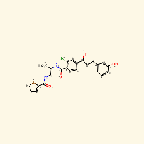 O=C(NC[C@H](NC(=O)c1ccc(C(O)CCc2cccc(O)c2)cc1Cl)C(=O)O)C1=CCCS1